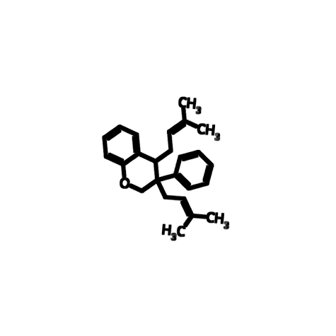 CC(C)=CCC1c2ccccc2OCC1(CC=C(C)C)c1ccccc1